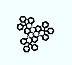 S=P12c3c4ccc5c3N(c3ccccc3C5(c3ccccc3)c3ccccc3)c3ccc5c(c31)N(c1ccccc1C5(c1ccccc1)c1ccccc1)c1ccc3c(c12)N4c1ccccc1C3(c1ccccc1)c1ccccc1